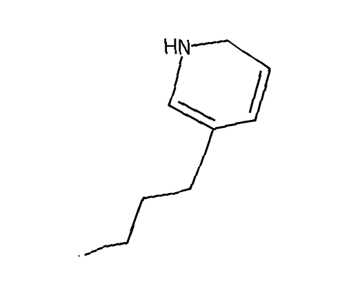 [CH2]CCCC1=CNCC=C1